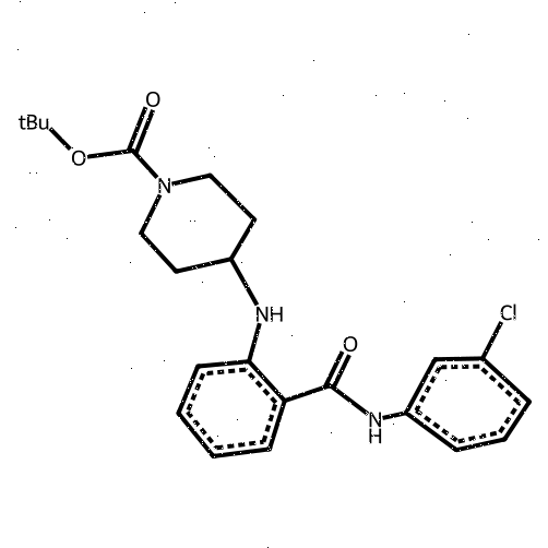 CC(C)(C)OC(=O)N1CCC(Nc2ccccc2C(=O)Nc2cccc(Cl)c2)CC1